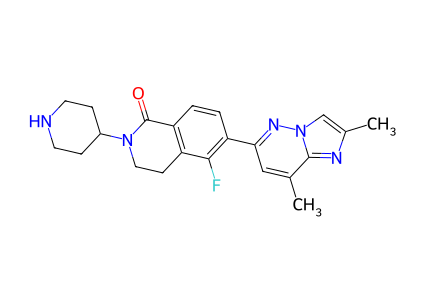 Cc1cn2nc(-c3ccc4c(c3F)CCN(C3CCNCC3)C4=O)cc(C)c2n1